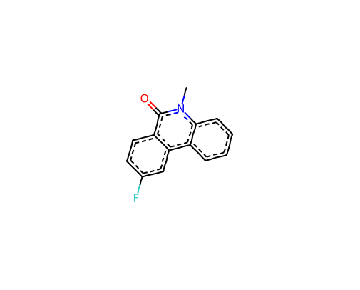 Cn1c(=O)c2ccc(F)cc2c2ccccc21